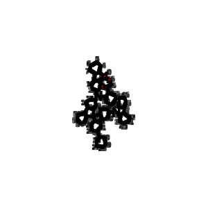 CC1(C)c2ccccc2-c2ccc(N(c3ccc4c(c3)C(c3ccc(-c5ccccc5)cc3)(c3ccc(-n5c6ccccc6c6ccccc65)cc3)c3ccccc3-4)c3ccccc3-c3ccccc3)cc21